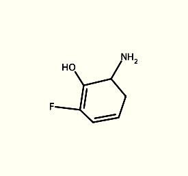 NC1CC=CC(F)=C1O